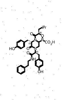 CC(C)C[C@H]1ON(C(=O)O)C2CN([C@@H](Cc3ccc(O)cc3)C(=O)NCCc3ccccc3)C(=O)[C@H](Cc3ccc(O)cc3)N2C1=O